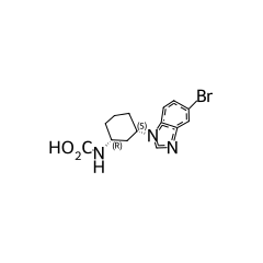 O=C(O)N[C@@H]1CCC[C@H](n2cnc3cc(Br)ccc32)C1